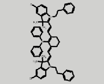 CC1(C)C(/C=C/C2=C(N(c3ccccc3)c3ccccc3)C(=C/C=C3/N(CCc4ccccc4)c4ccc(Cl)cc4C3(C)C)/CCC2)=[N+](CCc2ccccc2)c2ccc(Cl)cc21